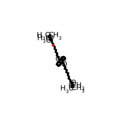 CC(C)(C)OC(=O)CCCCCCCCCCCOc1c2ccccc2c(OCCCCCCCCCCCC(=O)OC(C)(C)C)c2ccccc12